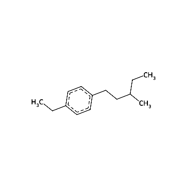 CCc1ccc(CCC(C)CC)cc1